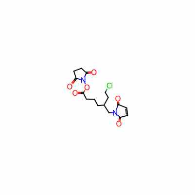 O=C(CCCC(CCCl)CN1C(=O)C=CC1=O)ON1C(=O)CCC1=O